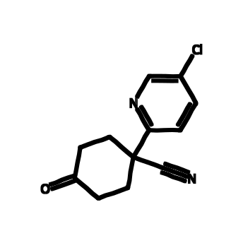 N#CC1(c2ccc(Cl)cn2)CCC(=O)CC1